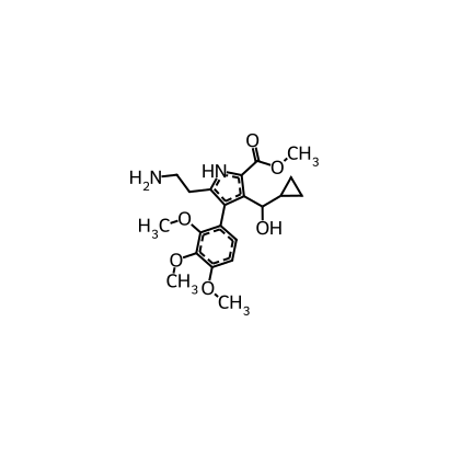 COC(=O)c1[nH]c(CCN)c(-c2ccc(OC)c(OC)c2OC)c1C(O)C1CC1